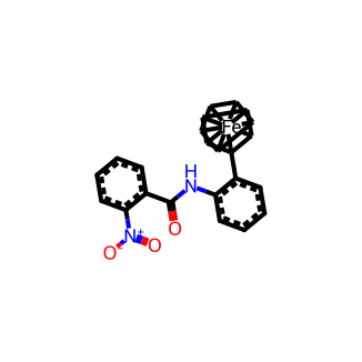 O=C(Nc1ccccc1[C]12[CH]3[CH]4[CH]5[CH]1[Fe]45321678[CH]2[CH]1[CH]6[CH]7[CH]28)c1ccccc1[N+](=O)[O-]